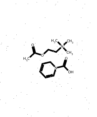 CC(=O)OCC[N+](C)(C)C.O=C(O)N1C=CC=CC1